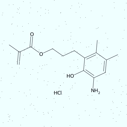 C=C(C)C(=O)OCCCc1c(C)c(C)cc(N)c1O.Cl